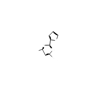 Nc1cc(O)nc(-c2cccs2)n1